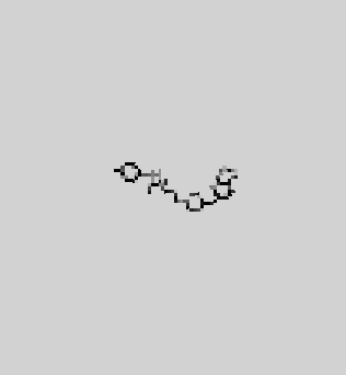 O=C(NCCCN1CCC(Cc2ccc3c(c2)OCO3)CC1)Nc1ccc(F)cc1